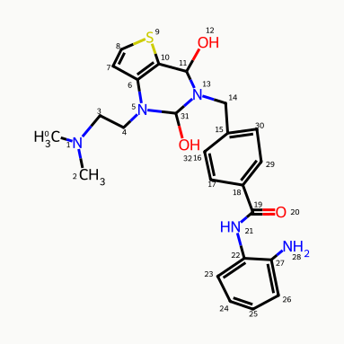 CN(C)CCN1c2ccsc2C(O)N(Cc2ccc(C(=O)Nc3ccccc3N)cc2)C1O